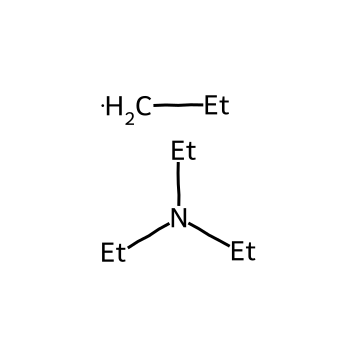 CCN(CC)CC.[CH2]CC